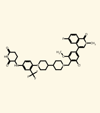 COc1cc(-c2cn(C)c(=O)c3ccc(F)cc23)cc(Cl)c1CN1CCC(C2CCN(c3ccc(NC4CCC(=O)NC4=O)cc3C(F)(F)F)CC2)CC1